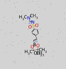 CN(C)/C=N/S(=O)(=O)c1ccc(/C=C/B2OC(C)(C)C(C)(C)O2)cc1